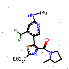 CCOC(=O)c1nc(C(=O)N2CCCC2C)c(-c2cnc(NC(C)(C)C)cc2C(F)F)s1